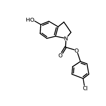 O=C(Oc1ccc(Cl)cc1)N1CCc2cc(O)ccc21